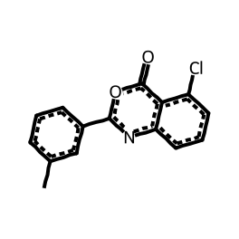 Cc1cccc(-c2nc3cccc(Cl)c3c(=O)o2)c1